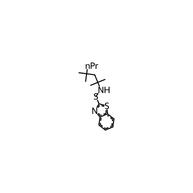 CCCC(C)(C)CC(C)(C)NSc1nc2ccccc2s1